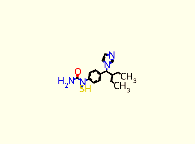 CCC(CC)C(c1ccc(N(S)C(N)=O)cc1)n1ccnc1